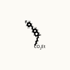 CCOC(=O)CC/C=C/CCC1(C)CCc2cc(CCc3ccc(F)cc3)ccc2C1